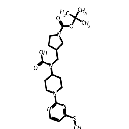 CSc1ccnc(N2CCC(N(CC3CCN(C(=O)OC(C)(C)C)C3)C(=O)O)CC2)n1